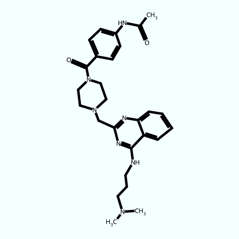 CC(=O)Nc1ccc(C(=O)N2CCN(Cc3nc(NCCCN(C)C)c4ccccc4n3)CC2)cc1